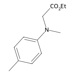 CCOC(=O)CN(C)c1ccc(C)cc1